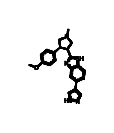 COc1ccc([C@H]2CN(C)CC2c2nc3cc(-c4cn[nH]c4)ccc3[nH]2)cc1